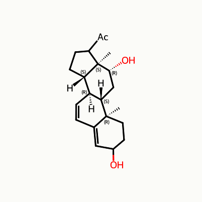 CC(=O)C1CC[C@H]2[C@@H]3C=CC4=CC(O)CC[C@]4(C)[C@H]3C[C@@H](O)[C@]12C